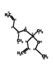 C=CCC(C)O[Si](C)(CC=C)OCC